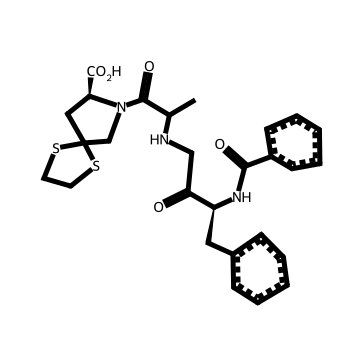 CC(NCC(=O)[C@H](Cc1ccccc1)NC(=O)c1ccccc1)C(=O)N1CC2(C[C@H]1C(=O)O)SCCS2